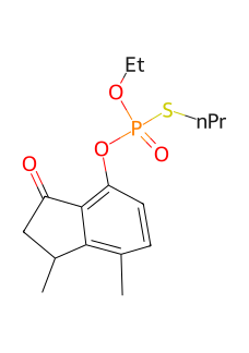 CCCSP(=O)(OCC)Oc1ccc(C)c2c1C(=O)CC2C